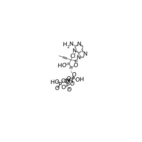 CC#CC1(Cl)[C@@H](O)[C@@H](COP(=O)(O)OP(=O)(O)OP(=O)(O)O)O[C@H]1n1cnc2cnc(N)nc21